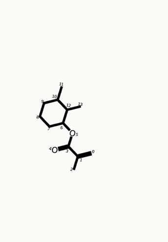 C=C(C)C(=O)OC1CCCC(C)C1C